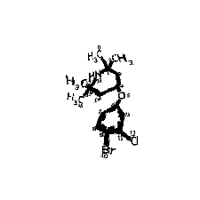 CC1(C)CC(Oc2ccc(Br)c(Cl)c2)CC(C)(C)N1